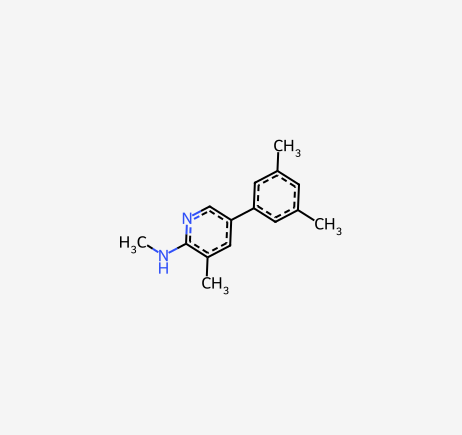 CNc1ncc(-c2cc(C)cc(C)c2)cc1C